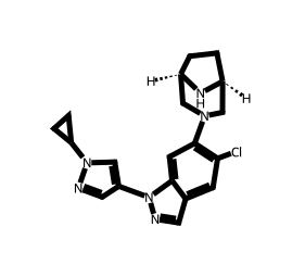 Clc1cc2cnn(-c3cnn(C4CC4)c3)c2cc1N1C[C@H]2CC[C@@H](C1)N2